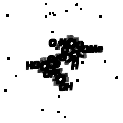 COC(=O)C1=C(C)NC(C)=C(C(=O)OCCOc2cc(O)cc(O)c2C(=O)/C=C/c2ccc(O)cc2)C1c1cccc([N+](=O)[O-])c1